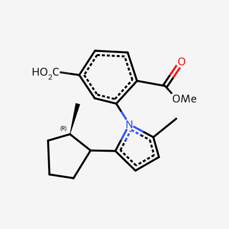 COC(=O)c1ccc(C(=O)O)cc1-n1c(C)ccc1C1CCC[C@H]1C